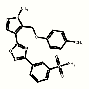 Cc1ccc(OCc2c(-c3nc(-c4cccc(S(N)(=O)=O)c4)no3)cnn2C)cc1